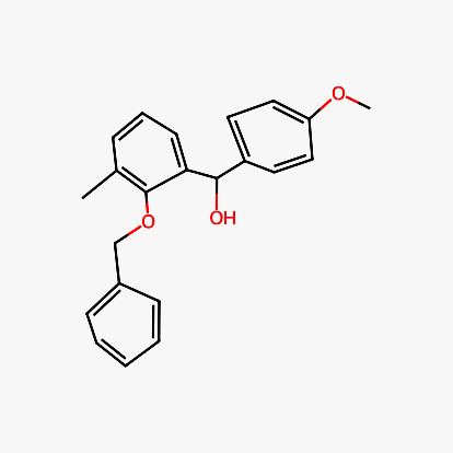 COc1ccc(C(O)c2cccc(C)c2OCc2ccccc2)cc1